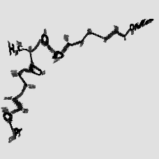 COCCCCCCOOC(C)OCCCCOC(C)C